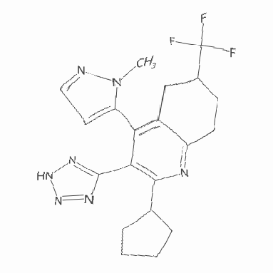 Cn1nccc1-c1c2c(nc(C3CCCC3)c1-c1nn[nH]n1)CCC(C(F)(F)F)C2